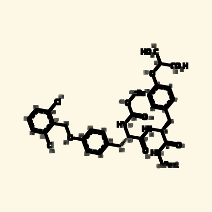 CCCCCNC(=O)[C@H](Cc1ccc(OC(C(=O)O)C(=O)O)cc1)NC(=O)[C@H](Cc1ccc(OCc2c(Cl)cccc2Cl)cc1)NC(=O)OC(C)(C)C